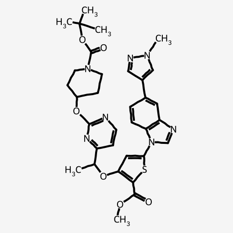 COC(=O)c1sc(-n2cnc3cc(-c4cnn(C)c4)ccc32)cc1OC(C)c1ccnc(OC2CCN(C(=O)OC(C)(C)C)CC2)n1